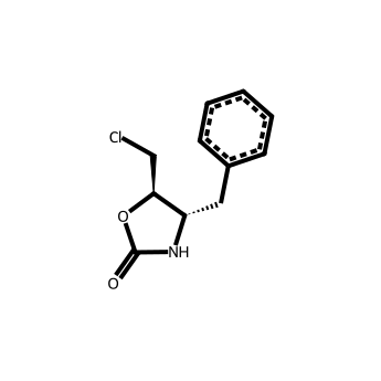 O=C1N[C@@H](Cc2ccccc2)[C@H](CCl)O1